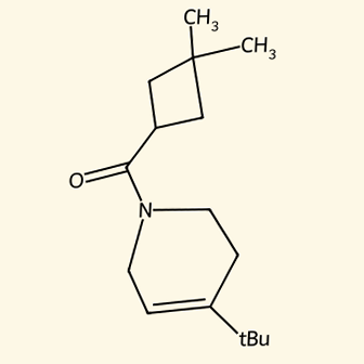 CC1(C)CC(C(=O)N2CC=C(C(C)(C)C)CC2)C1